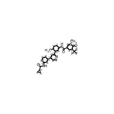 Cc1ccc(NC(=O)c2cc(C(F)(F)F)c(=O)n(C)c2)cc1-c1cc(-c2ccnc(NC(=O)C3CC3)c2)cnn1